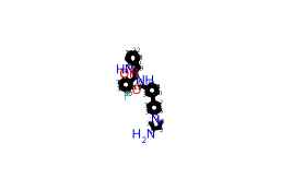 N[C@H]1CCN(c2ccc(-c3cccc(C(=O)N[C@@H](c4cc5ccccc5[nH]4)c4cc(F)ccc4O)c3)cc2)C1